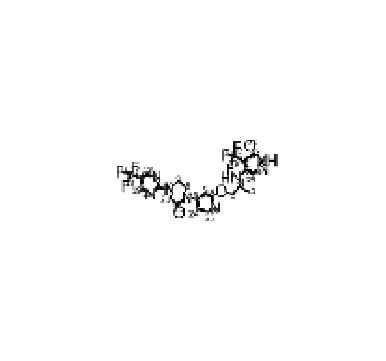 CC(COc1cc(N2CCN(c3ncc(C(F)(F)F)cn3)CC2=O)ccn1)Nc1cn[nH]c(=O)c1C(F)(F)F